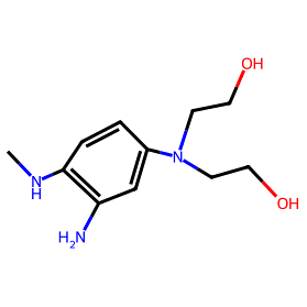 CNc1ccc(N(CCO)CCO)cc1N